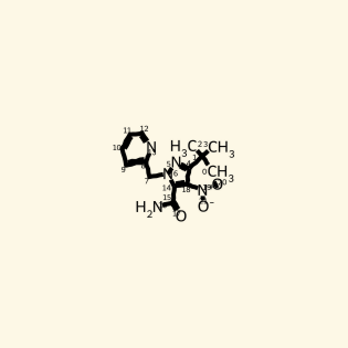 CC(C)(C)c1nn(Cc2ccccn2)c(C(N)=O)c1[N+](=O)[O-]